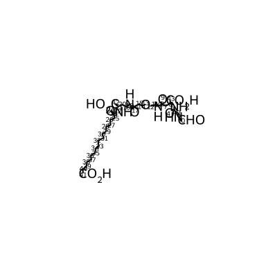 O=CNCC(=O)NC(CC(=O)NCCOCCC(=O)NCCC(NC(=O)CCCCCCCCCCCCCCCCC(=O)O)C(=O)O)C(=O)O